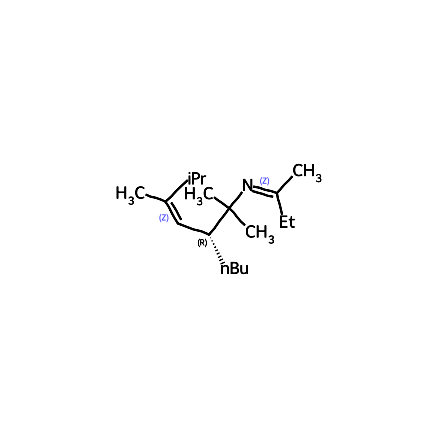 CCCC[C@H](/C=C(/C)C(C)C)C(C)(C)/N=C(/C)CC